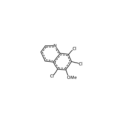 COc1c(Cl)c(Cl)c2ncccc2c1Cl